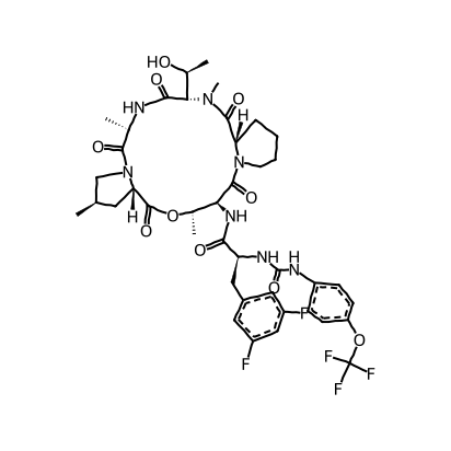 C[C@@H]1C[C@H]2C(=O)O[C@@H](C)[C@H](NC(=O)[C@H](Cc3cc(F)cc(F)c3)NC(=O)Nc3ccc(OC(F)(F)F)cc3)C(=O)N3CCCC[C@H]3C(=O)N(C)[C@@H]([C@H](C)O)C(=O)N[C@@H](C)C(=O)N2C1